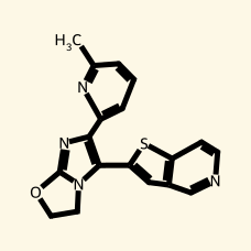 Cc1cccc(-c2nc3n(c2-c2cc4cnccc4s2)CCO3)n1